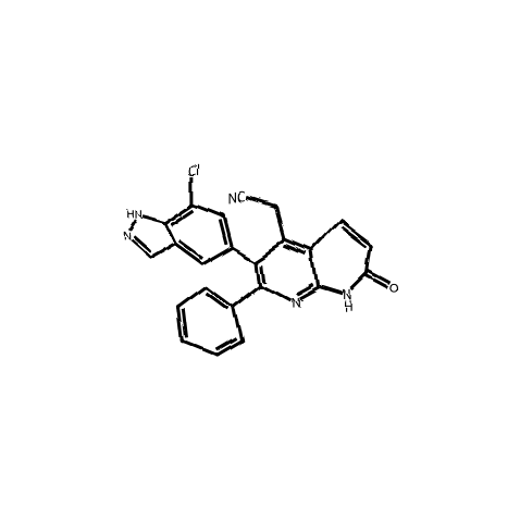 N#CCc1c(-c2cc(Cl)c3[nH]ncc3c2)c(-c2ccccc2)nc2[nH]c(=O)ccc12